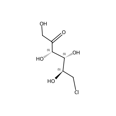 O=C(CO)[C@@H](O)[C@H](O)[C@H](O)CCl